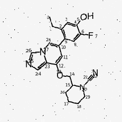 CCc1cc(O)c(F)cc1-c1cc(OCC2CCCCN2C#N)c2cncn2c1